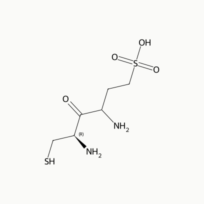 NC(CCS(=O)(=O)O)C(=O)[C@@H](N)CS